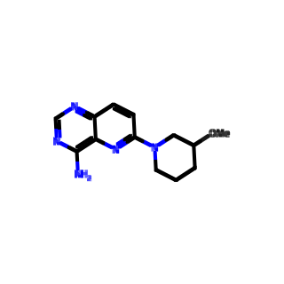 COC1CCCN(c2ccc3ncnc(N)c3n2)C1